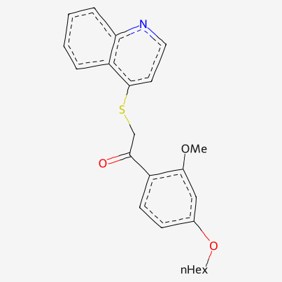 CCCCCCOc1ccc(C(=O)CSc2ccnc3ccccc23)c(OC)c1